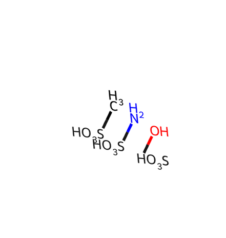 CS(=O)(=O)O.NS(=O)(=O)O.O=S(=O)(O)O